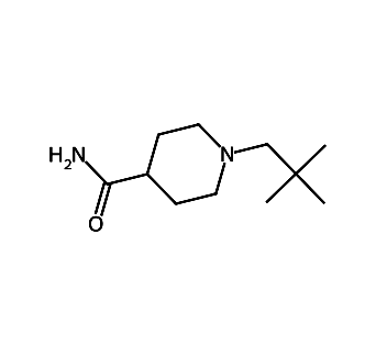 CC(C)(C)CN1CCC(C(N)=O)CC1